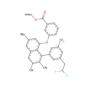 CCCCCCOC(=O)c1cccc(Oc2cc(C(C)(C)C)cc3cc(C#N)c(C#N)c(-c4cc(CC(F)F)cc(C(F)(F)F)c4)c23)c1